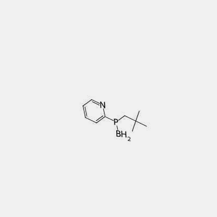 BP(CC(C)(C)C)c1ccccn1